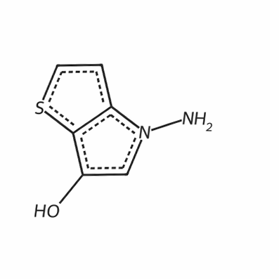 Nn1cc(O)c2sccc21